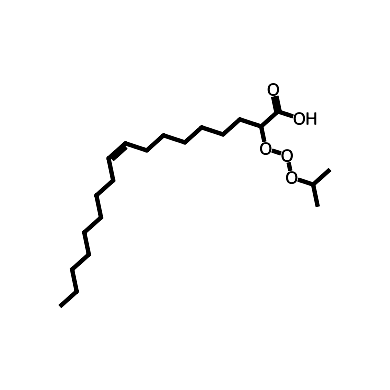 CCCCCCCC/C=C\CCCCCCC(OOOC(C)C)C(=O)O